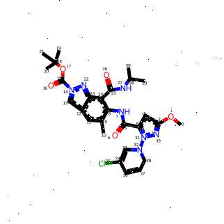 COc1cc(C(=O)Nc2c(C)cc3cn(C(=O)OC(C)(C)C)nc3c2C(=O)NC(C)C)n(N2C=C(Cl)C=CC2)n1